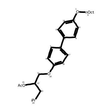 CCCCCCCCOc1ccc(-c2ccc(OCC(CC(C)C)OC(C)=O)cc2)cc1